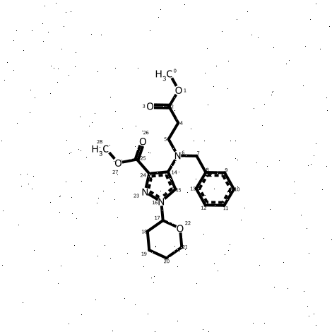 COC(=O)CCN(Cc1ccccc1)c1cn(C2CCCCO2)nc1C(=O)OC